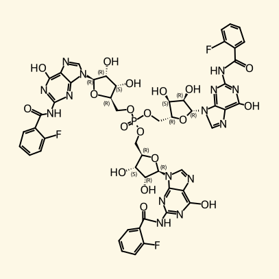 O=C(Nc1nc(O)c2ncn([C@@H]3O[C@H](COP(=O)(OC[C@H]4O[C@@H](n5cnc6c(O)nc(NC(=O)c7ccccc7F)nc65)[C@H](O)[C@@H]4O)OC[C@H]4O[C@@H](n5cnc6c(O)nc(NC(=O)c7ccccc7F)nc65)[C@H](O)[C@@H]4O)[C@@H](O)[C@H]3O)c2n1)c1ccccc1F